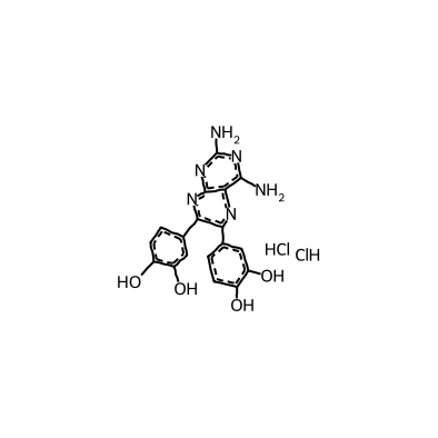 Cl.Cl.Nc1nc(N)c2nc(-c3ccc(O)c(O)c3)c(-c3ccc(O)c(O)c3)nc2n1